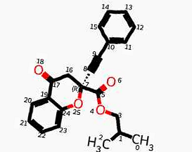 CC(C)COC(=O)[C@]1(C#Cc2ccccc2)CC(=O)c2ccccc2O1